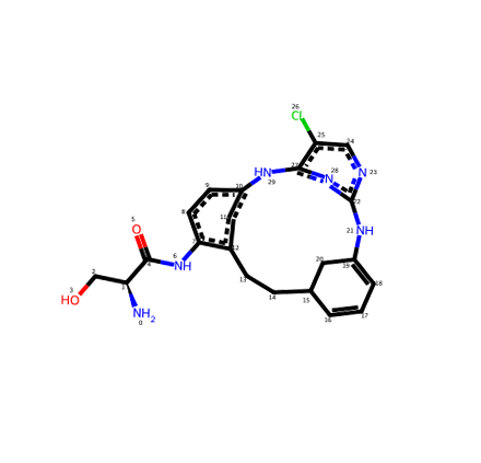 N[C@@H](CO)C(=O)Nc1ccc2cc1CCC1C=CC=C(C1)Nc1ncc(Cl)c(n1)N2